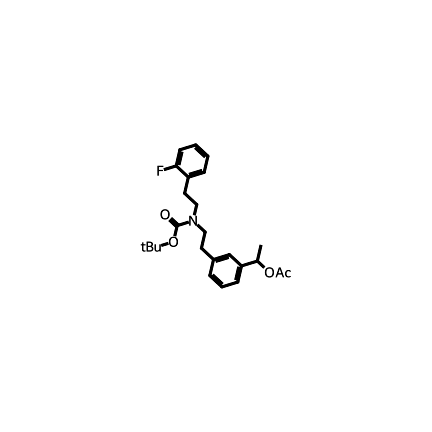 CC(=O)OC(C)c1cccc(CCN(CCc2ccccc2F)C(=O)OC(C)(C)C)c1